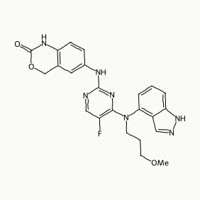 COCCCN(c1nc(Nc2ccc3c(c2)COC(=O)N3)ncc1F)c1cccc2[nH]ncc12